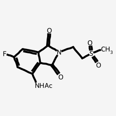 CC(=O)Nc1cc(F)cc2c1C(=O)N(CCS(C)(=O)=O)C2=O